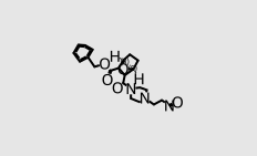 O=NCCN1CCN(C(=O)C2C(C(=O)OCc3ccccc3)[C@H]3CC[C@@H]2O3)CC1